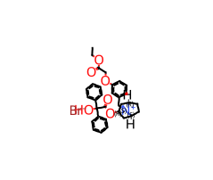 CCOC(=O)COc1cccc(C[N@+]2(C)[C@@H]3CC[C@H]2C[C@@H](OC(=O)C(O)(c2ccccc2)c2ccccc2)C3)c1.[Br-]